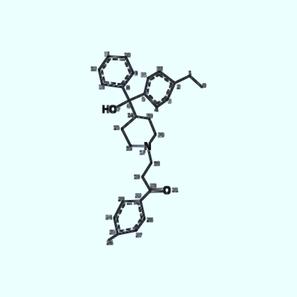 CCc1ccc(C(O)(c2ccccc2)C2CCN(CCC(=O)c3ccc(C)cc3)CC2)cc1